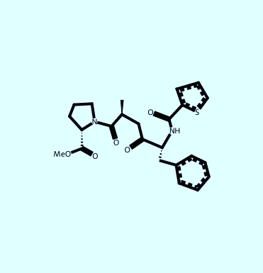 COC(=O)[C@@H]1CCCN1C(=O)[C@@H](C)CC(=O)[C@@H](Cc1ccccc1)NC(=O)c1cccs1